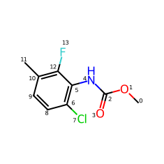 COC(=O)Nc1c(Cl)ccc(C)c1F